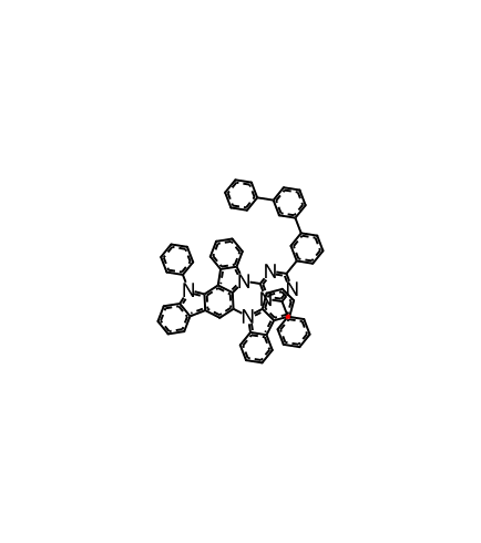 c1ccc(-c2cccc(-c3cccc(-c4nc(-c5ccccc5)nc(-n5c6ccccc6c6c5c(-n5c7ccccc7c7ccccc75)cc5c7ccccc7n(-c7ccccc7)c56)n4)c3)c2)cc1